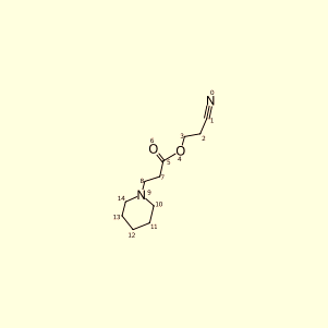 N#CCCOC(=O)CCN1CCCCC1